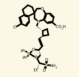 CC[C@H](CC[C@@H](/C=C/[C@@H]1CC[C@H]1CN1CC2(CCCc3cc(Cl)ccc32)COc2ccc(C(=O)O)cc21)O[Si](C(C)C)(C(C)C)C(C)C)S(N)(=O)=O